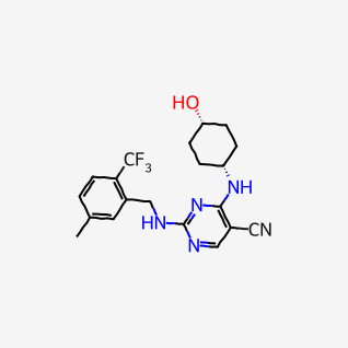 Cc1ccc(C(F)(F)F)c(CNc2ncc(C#N)c(N[C@H]3CC[C@@H](O)CC3)n2)c1